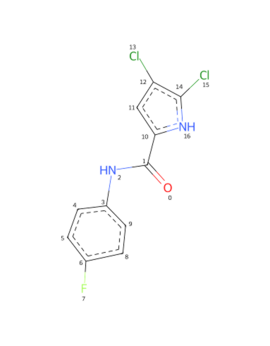 O=C(Nc1ccc(F)cc1)c1cc(Cl)c(Cl)[nH]1